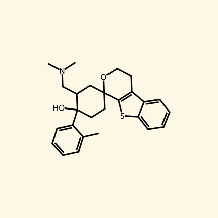 Cc1ccccc1C1(O)CCC2(CC1CN(C)C)OCCc1c2sc2ccccc12